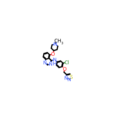 CN1CCC(Oc2cccc3ncnc(Nc4ccc(OCc5csnn5)c(Cl)c4)c23)CC1